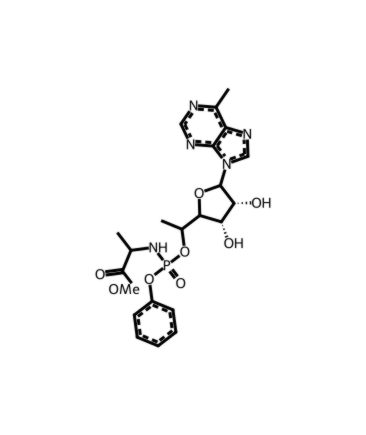 COC(=O)C(C)NP(=O)(Oc1ccccc1)OC(C)C1OC(n2cnc3c(C)ncnc32)[C@H](O)[C@@H]1O